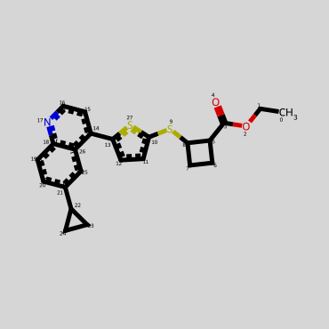 CCOC(=O)C1CCC1Sc1ccc(-c2ccnc3ccc(C4CC4)cc23)s1